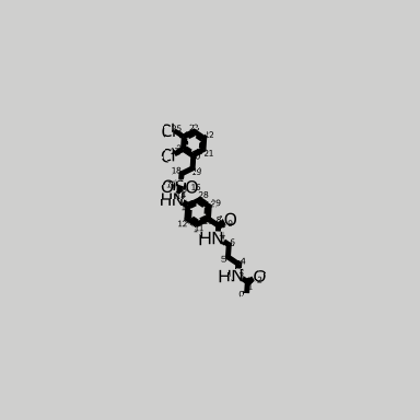 CC(=O)NCCCNC(=O)c1ccc(NS(=O)(=O)CCc2cccc(Cl)c2Cl)cc1